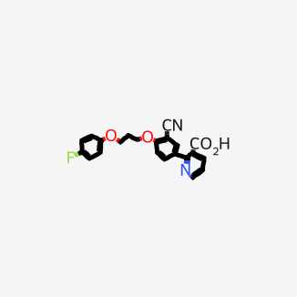 N#Cc1cc(-c2ncccc2C(=O)O)ccc1OCCCOc1ccc(F)cc1